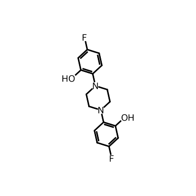 Oc1cc(F)ccc1N1CCN(c2ccc(F)cc2O)CC1